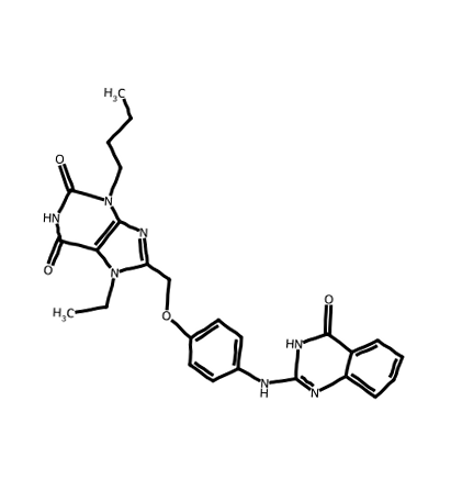 CCCCn1c(=O)[nH]c(=O)c2c1nc(COc1ccc(Nc3nc4ccccc4c(=O)[nH]3)cc1)n2CC